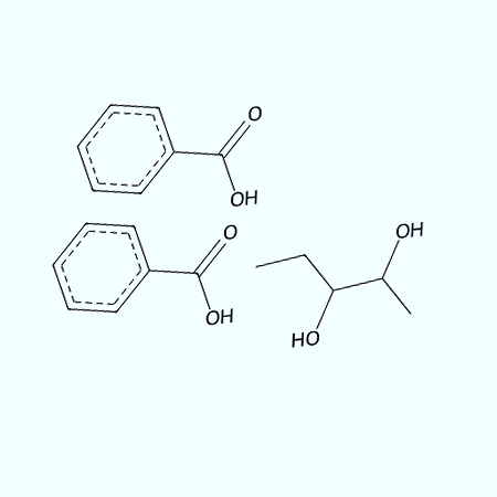 CCC(O)C(C)O.O=C(O)c1ccccc1.O=C(O)c1ccccc1